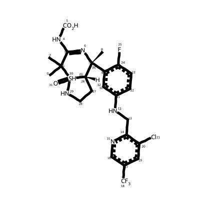 CC1(C)C(NC(=O)O)=N[C@](C)(c2cc(NCc3ncc(C(F)(F)F)cc3Cl)ccc2F)[C@@H]2CCN[SH]21=O